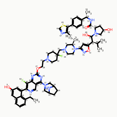 CCc1cccc2cc(O)cc(-c3ncc4c(N5CC6CCC(C5)N6)nc(OCCN5CCC(F)(CN6CCN(c7cc([C@H](C(C)C)C(O)N8C[C@H](O)C[C@H]8C(=O)N[C@@H](C)c8ccc(-c9scnc9C)cc8)on7)[C@H](C)C6)CC5)nc4c3F)c12